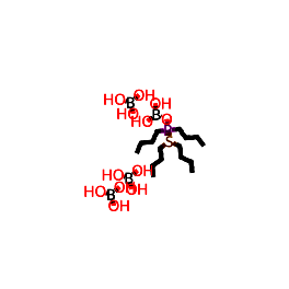 CCCCS(CCCC)=P(CCCC)(CCCC)OB(O)O.OB(O)O.OB(O)O.OB(O)O